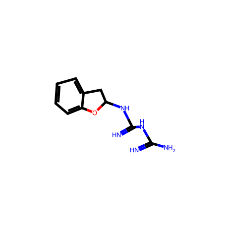 N=C(N)NC(=N)NC1Cc2ccccc2O1